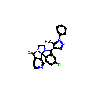 Cc1c(C(=O)N2CCN3C(=O)c4ccncc4C32c2ccc(Cl)cc2)cnn1-c1ccccc1